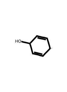 OC1C=C[CH]C=C1